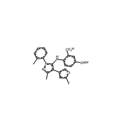 COc1ccc(Nc2c(-c3csc(F)c3)c(C)nn2-c2ccccc2C)c(C(=O)O)c1